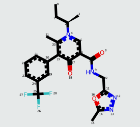 CC[C@@H](C)n1cc(C(=O)NCc2nnc(C)o2)c(=O)c(-c2cccc(C(F)(F)F)c2)c1C